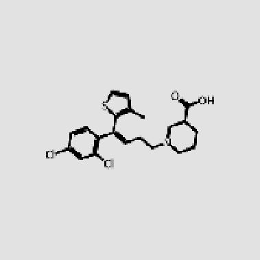 Cc1ccsc1/C(=C\CCN1CCCC(C(=O)O)C1)c1ccc(Cl)cc1Cl